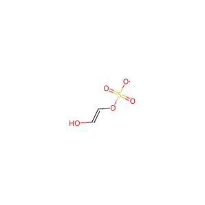 [O]S(=O)(=O)OC=CO